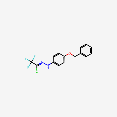 FC(F)(F)C(Cl)=NNc1ccc(OCc2ccccc2)cc1